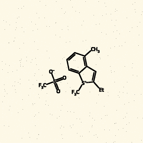 CCc1cc2c(C)cccc2[s+]1C(F)(F)F.O=S(=O)([O-])C(F)(F)F